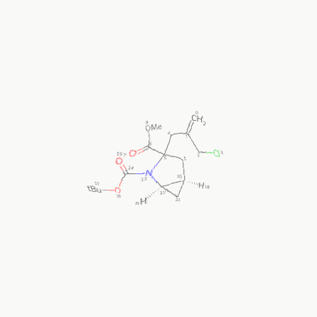 C=C(CCl)CC1(C(=O)OC)C[C@H]2C[C@H]2N1C(=O)OC(C)(C)C